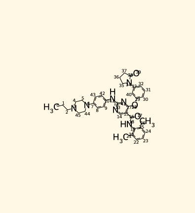 CCCN1CCN(c2ccc(Nc3ncc(C(=O)Nc4c(C)cccc4C)c(Oc4cccc(N5CCCC5=O)c4)n3)cc2)CC1